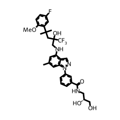 COc1ccc(F)cc1C(C)(C)CC(O)(CNc1cc(C)cc2c1cnn2-c1cccc(C(=O)NC[C@@H](O)CO)c1)C(F)(F)F